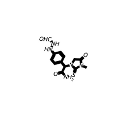 CN1C(=O)CN(C(C(N)=O)c2ccc(NNC=O)cc2)C1=S